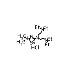 CCN(CC)CCN(CCN(CC)CC)C1=NC(N(C)C)SS1.Cl